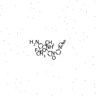 C[C@@H](NC(=O)c1ccc(=O)n(-c2cccc(N3CC[C@@H](F)C3)c2)c1)c1cc(N)cc(C(C)(F)F)c1